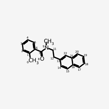 Cc1ccccc1C(=O)N(C)CCc1ccc2ccccc2c1